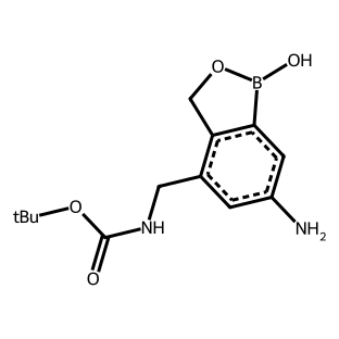 CC(C)(C)OC(=O)NCc1cc(N)cc2c1COB2O